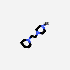 CCN1CCN(CCN2CCCCC2)CC1